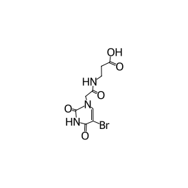 O=C(O)CCNC(=O)Cn1cc(Br)c(=O)[nH]c1=O